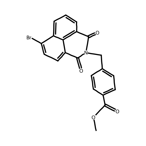 COC(=O)c1ccc(CN2C(=O)c3cccc4c(Br)ccc(c34)C2=O)cc1